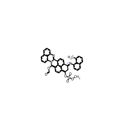 COS(=O)(=O)OC1=c2ccc3c4c(ccc(c24)/C(=N/c2cccc4cccc(C)c24)C1)C1=Nc2cccc4cccc(c24)N1C=3OC=O